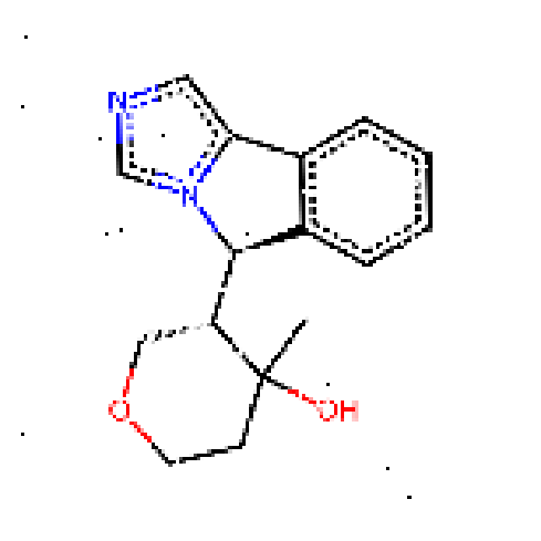 CC1(O)CCOC[C@@H]1[C@@H]1c2ccccc2-c2cncn21